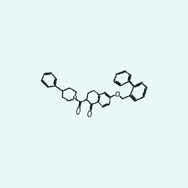 O=C1c2ccc(OCc3ccccc3-c3ccccc3)cc2CCC1C(=O)N1CCC(c2ccccc2)CC1